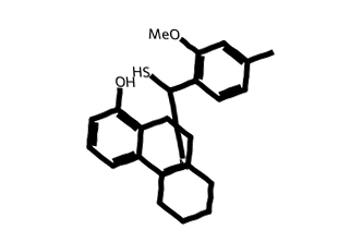 COc1cc(C)ccc1C(S)N1CCC23CCCCC2(CCc2c(O)cccc23)C1